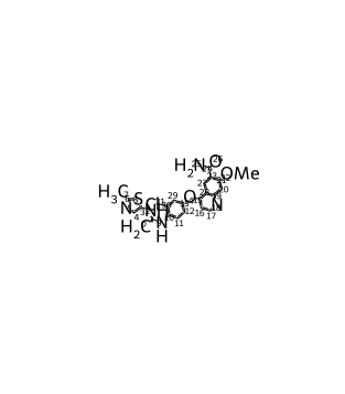 C=C(Nc1cnc(C)s1)Nc1ccc(Oc2ccnc3cc(OC)c(C(N)=O)cc23)cc1Cl